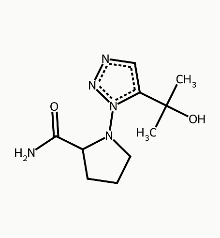 CC(C)(O)c1cnnn1N1CCCC1C(N)=O